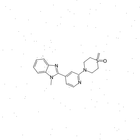 C=S1(=O)CCN(c2cc(-c3nc4ccccc4n3C)ccn2)CC1